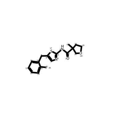 CC1(C(=O)Nc2ncc(Cc3ccccc3F)s2)CCOC1